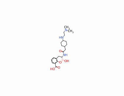 CN(C)CCNC1CCC(CC(=O)NC2Cc3cccc(C(=O)O)c3OB2O)CC1